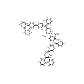 Cc1cc(N(c2ccc(-c3ccc4c5ccccc5c5ccccc5c4c3)cc2)c2ccccc2C)ccc1-c1ccc(N(c2ccc(-c3ccc4c5ccccc5c5ccccc5c4c3)cc2)c2ccccc2C)cc1C